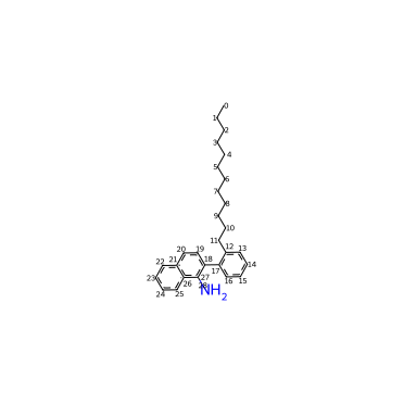 CCCCCCCCCCCCc1ccccc1-c1ccc2ccccc2c1N